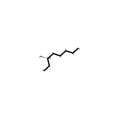 CCCCC[C@@H](C)CC